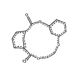 O=c1occoc2cccc(c2)oc(=O)c2cccc1c2